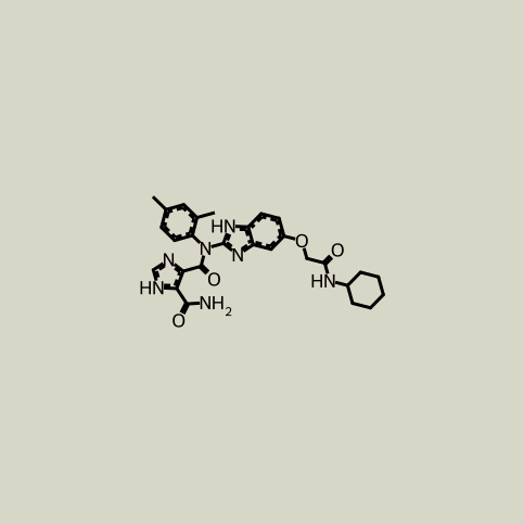 Cc1ccc(N(C(=O)c2nc[nH]c2C(N)=O)c2nc3cc(OCC(=O)NC4CCCCC4)ccc3[nH]2)c(C)c1